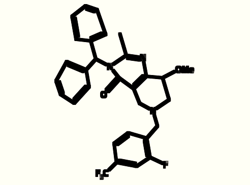 COC1CN(Cc2ccc(C(F)(F)F)cc2F)Cc2c1nc(C)n(C(c1ccccc1)c1ccccc1)c2=O